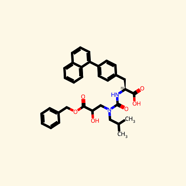 CC(C)CN(CC(O)C(=O)OCc1ccccc1)C(=O)N[C@@H](Cc1ccc(-c2cccc3ccccc23)cc1)C(=O)O